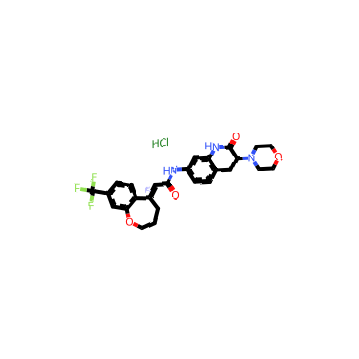 Cl.O=C(/C=C1\CCCOc2cc(C(F)(F)F)ccc21)Nc1ccc2c(c1)NC(=O)C(N1CCOCC1)C2